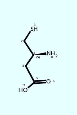 N[C@H](CS)CC(=O)O